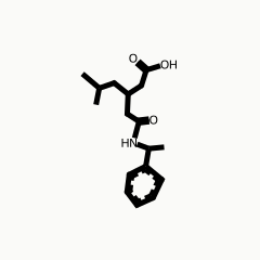 CC(C)CC(CC(=O)O)CC(=O)NC(C)c1ccccc1